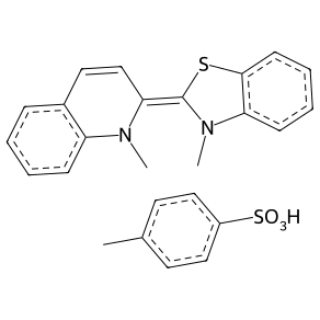 CN1/C(=C2/Sc3ccccc3N2C)C=Cc2ccccc21.Cc1ccc(S(=O)(=O)O)cc1